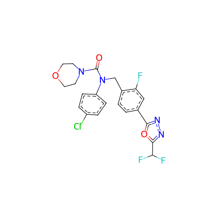 O=C(N1CCOCC1)N(Cc1ccc(-c2nnc(C(F)F)o2)cc1F)c1ccc(Cl)cc1